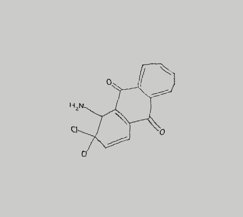 NC1C2=C(C=CC1(Cl)Cl)C(=O)c1ccccc1C2=O